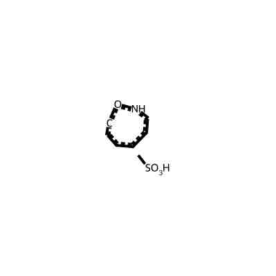 CS(=O)(=O)O.c1ccco[nH]cc1